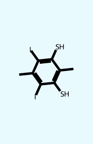 Cc1c(S)c(I)c(C)c(I)c1S